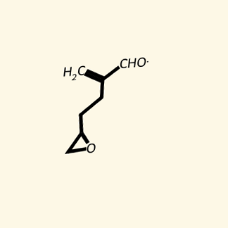 C=C([C]=O)CCC1CO1